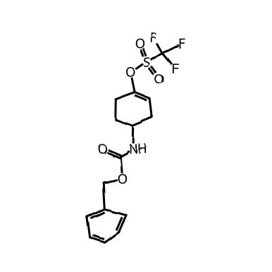 O=C(NC1CC=C(OS(=O)(=O)C(F)(F)F)CC1)OCc1ccccc1